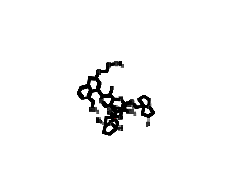 CCc1cccc2cc(OCOC)cc(-c3ncc4c(N5C[C@H]6CC[C@@H](C5)N6C(=O)OC(C)(C)C)nc(OC[C@@]56CCCN5C[C@H](F)C6)nc4c3F)c12